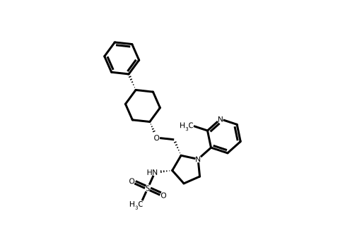 Cc1ncccc1N1CC[C@H](NS(C)(=O)=O)[C@@H]1CO[C@H]1CC[C@@H](c2ccccc2)CC1